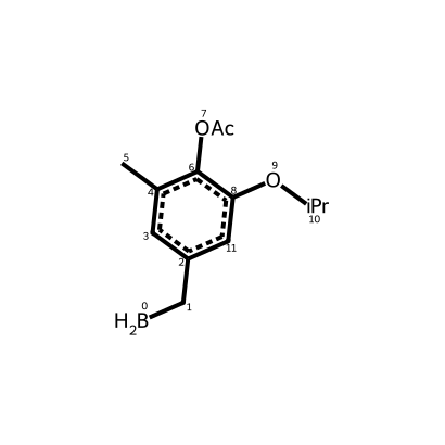 BCc1cc(C)c(OC(C)=O)c(OC(C)C)c1